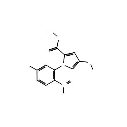 CBc1cc(C(=O)OC)n(-c2cc(F)ccc2[N+](=O)[O-])c1